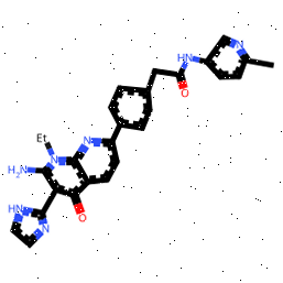 CCn1c(N)c(-c2ncc[nH]2)c(=O)c2ccc(-c3ccc(CC(=O)Nc4ccc(C)nc4)cc3)nc21